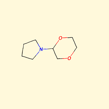 C1CCN(C2COCCO2)C1